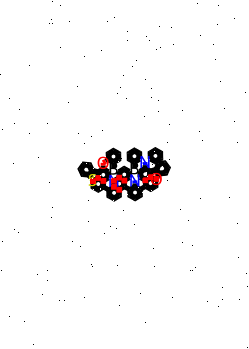 c1ccc(-c2ccccc2N2c3cc4c(cc3B3c5ccccc5Oc5c3c2cc2sc3ccccc3c52)B2c3ccccc3N(c3ccccc3)c3c2c(cc2oc5ccccc5c32)N4c2c(-c3ccccc3)cccc2-c2ccccc2)cc1